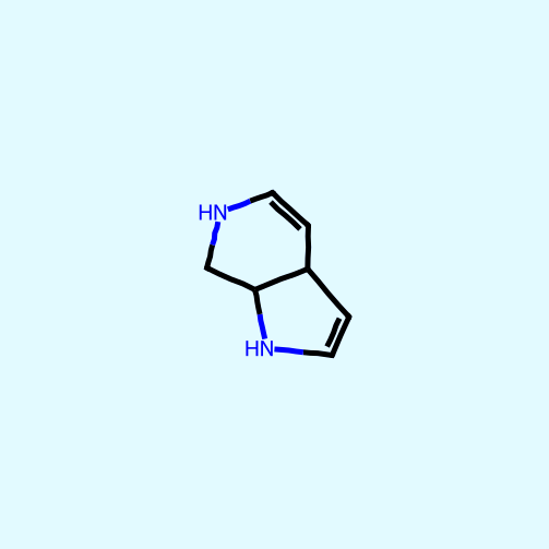 C1=CC2C=CNC2CN1